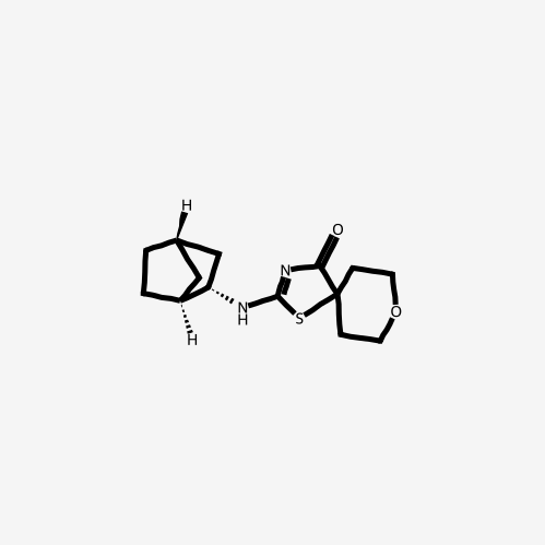 O=C1N=C(N[C@H]2C[C@H]3CC[C@H]2C3)SC12CCOCC2